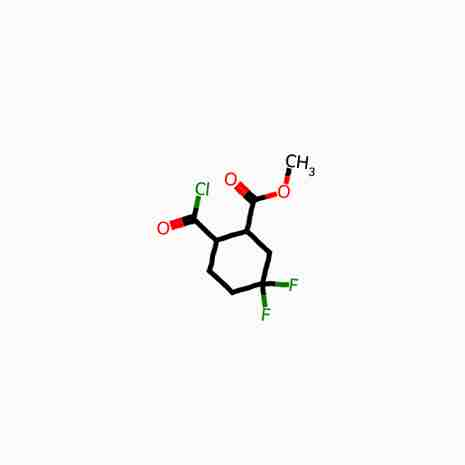 COC(=O)C1CC(F)(F)CCC1C(=O)Cl